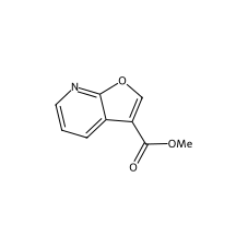 COC(=O)c1coc2ncccc12